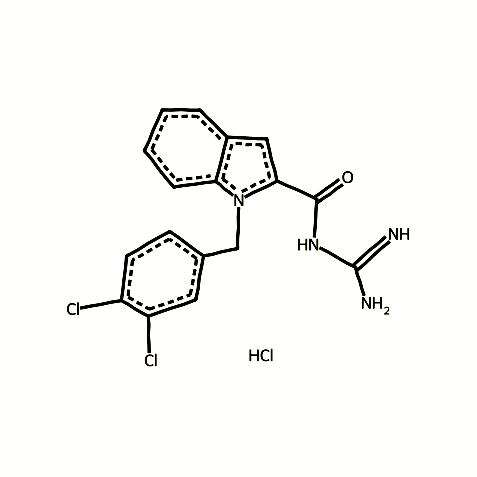 Cl.N=C(N)NC(=O)c1cc2ccccc2n1Cc1ccc(Cl)c(Cl)c1